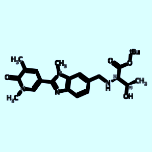 Cc1cc(-c2nc3ccc(CN[C@H](C(=O)OC(C)(C)C)[C@@H](C)O)cc3n2C)cn(C)c1=O